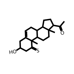 CC(=O)C1CCC2C3CC=C4CC(O)CC(=S)C4(C)C3CCC12C